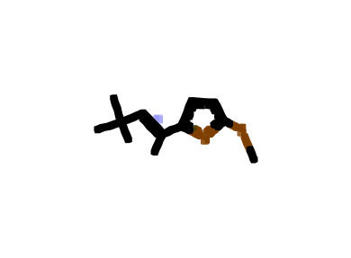 CSc1ccc(/C(C)=C/C(C)(C)C)s1